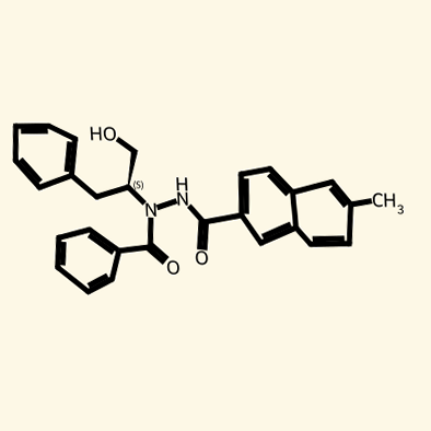 Cc1ccc2cc(C(=O)NN(C(=O)c3ccccc3)[C@H](CO)Cc3ccccc3)ccc2c1